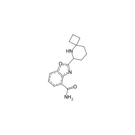 NC(=O)c1cccc2oc(C3CCCC4(CCC4)N3)nc12